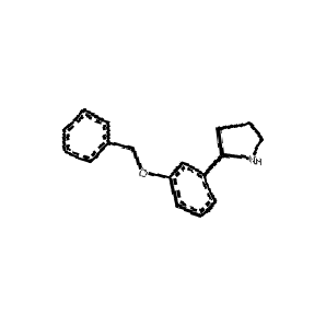 c1ccc(COc2cccc(C3CCCN3)c2)cc1